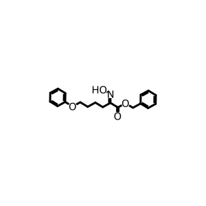 O=C(OCc1ccccc1)C(CCCCOc1ccccc1)=NO